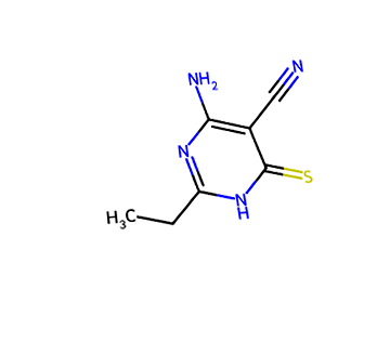 CCc1nc(N)c(C#N)c(=S)[nH]1